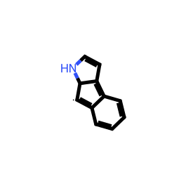 [C]1=c2ccccc2=C2C=CNC12